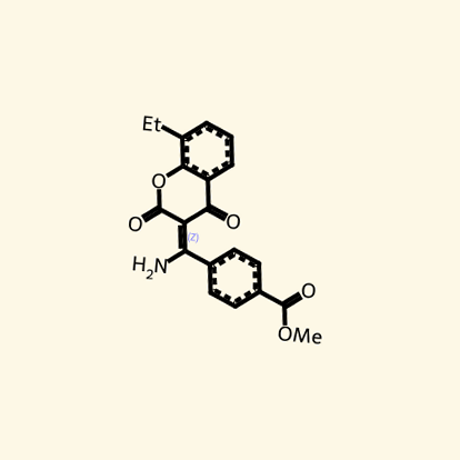 CCc1cccc2c1OC(=O)/C(=C(\N)c1ccc(C(=O)OC)cc1)C2=O